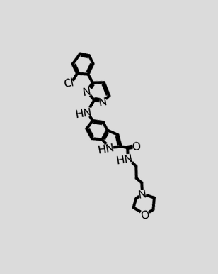 O=C(NCCCN1CCOCC1)c1cc2cc(Nc3nccc(-c4ccccc4Cl)n3)ccc2[nH]1